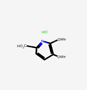 COc1ccc(C(=O)O)nc1OC.Cl